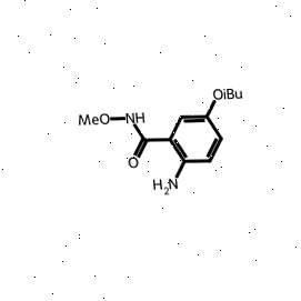 CONC(=O)c1cc(OCC(C)C)ccc1N